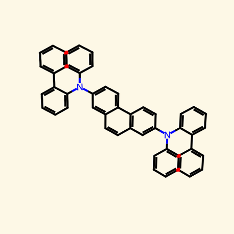 c1ccc(-c2ccccc2N(c2ccccc2)c2ccc3c(ccc4cc(N(c5ccccc5)c5ccccc5-c5ccccc5)ccc43)c2)cc1